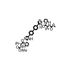 COC(=O)N[C@H](C(=O)N1CCC[C@H]1c1ncc(-c2ccc(-c3ccc(-c4cnc([C@@H]5CCCN5C(=O)C(NC(=O)N(C)C)C(C)C)[nH]4)cc3)cc2)[nH]1)C(C)C